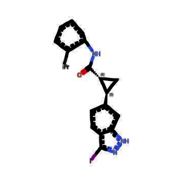 CC(C)c1ccccc1NC(=O)[C@@H]1C[C@H]1c1ccc2c(I)n[nH]c2c1